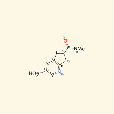 CNC(=O)C1Cc2cc(C(=O)O)cnc2C1